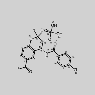 CC(=O)c1ccc2c(c1)[C@@H](NC(=O)c1ccc(Cl)cc1)[C@@H](OP(=O)(O)O)C(C)(C)O2